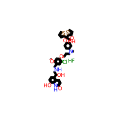 COc1cc(OCCCN(C)[C@H]2CC[C@H](OC(C(=O)O)(c3cccs3)c3cccs3)CC2)c(Cl)cc1CNC[C@H](O)c1ccc(O)c2[nH]c(=O)ccc12.F